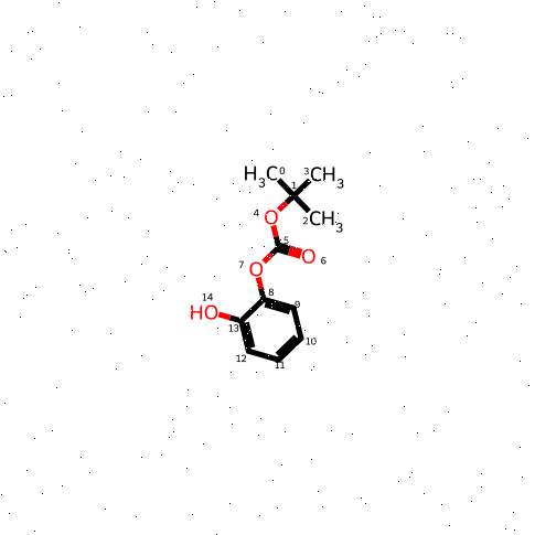 CC(C)(C)OC(=O)Oc1ccccc1O